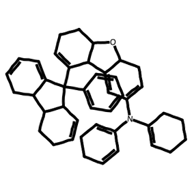 C1=CCC2C(=C1)C(C1=CCCC3OC4CC=C(N(C5=CCCC=C5)C5=CCCCC5)C=C4C13)(c1ccccc1)C1C=CCCC21